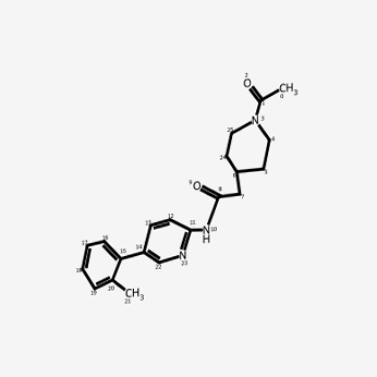 CC(=O)N1CCC(CC(=O)Nc2ccc(-c3ccccc3C)cn2)CC1